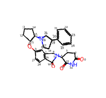 O=C1CCC(N2Cc3cc(O[C@@H]4CCC[C@H]4N4CCC(c5ccccc5)C4)ccc3C2=O)C(=O)N1